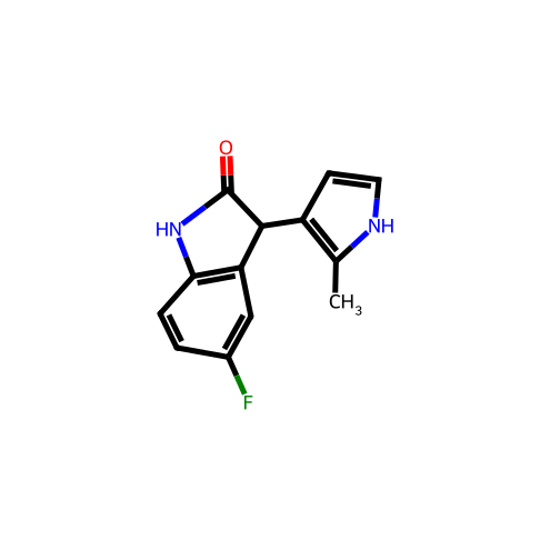 Cc1[nH]ccc1C1C(=O)Nc2ccc(F)cc21